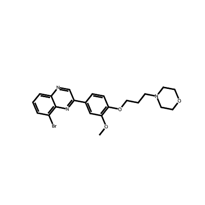 COc1cc(-c2cnc3cccc(Br)c3n2)ccc1OCCCN1CCOCC1